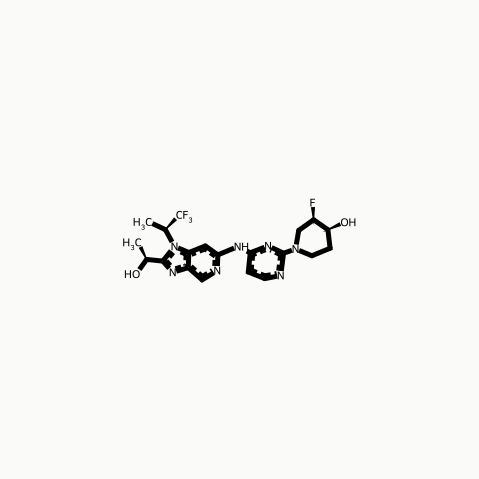 C[C@H](O)c1nc2cnc(Nc3ccnc(N4CC[C@H](O)[C@H](F)C4)n3)cc2n1[C@@H](C)C(F)(F)F